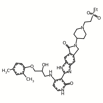 CCS(=O)(=O)CCN1CCC(N2Cc3cc4nc(-c5c(NCC(O)COc6ccc(C)cc6C)cc[nH]c5=O)[nH]c4cc3C2=O)CC1